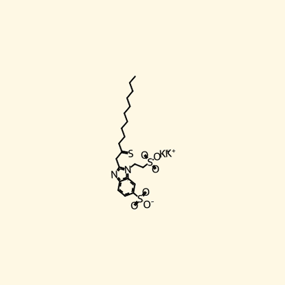 CCCCCCCCCCC(=S)Cc1nc2ccc(S(=O)(=O)[O-])cc2n1CCS(=O)(=O)[O-].[K+].[K+]